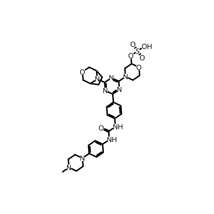 CN1CCN(c2ccc(NC(=O)Nc3ccc(-c4nc(N5CCOC(OS(=O)(=O)O)C5)nc(N5C6CCC5COC6)n4)cc3)cc2)CC1